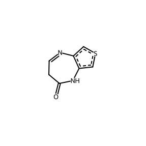 O=C1CC=Nc2cscc2N1